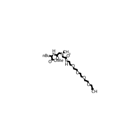 C#CCOCCOCCOCCOCCNC(=O)CN(C)CC(=O)NC(CCCC)C(=O)OC